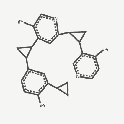 CC(C)c1ccc(C2CC2c2cc(C3CC3c3cnccc3C(C)C)ncc2C(C)C)cc1C1CC1